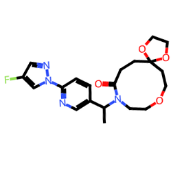 CC(c1ccc(-n2cc(F)cn2)nc1)N1CCOCCC2(CCC1=O)OCCO2